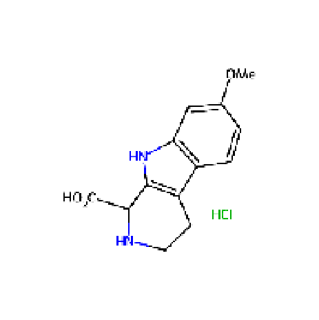 COc1ccc2c3c([nH]c2c1)C(C(=O)O)NCC3.Cl